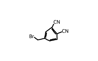 N#Cc1ccc(CBr)cc1C#N